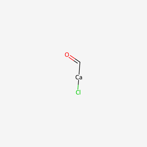 O=[CH][Ca][Cl]